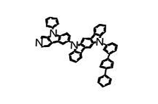 c1ccc(-c2ccc(-c3cccc(-n4c5ccccc5c5cc6c(cc54)c4ccccc4n6-c4ccc5c(c4)c4ccncc4n5-c4ccccc4)c3)cc2)cc1